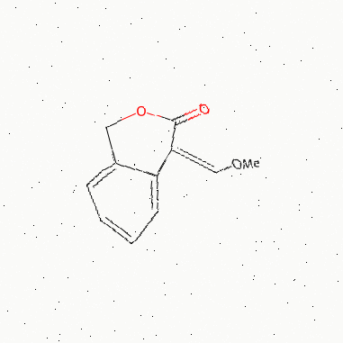 COC=C1C(=O)OCc2ccccc21